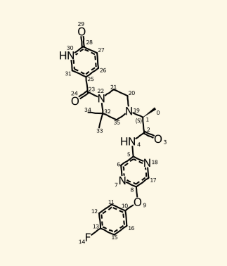 C[C@@H](C(=O)Nc1cnc(Oc2ccc(F)cc2)cn1)N1CCN(C(=O)c2ccc(=O)[nH]c2)C(C)(C)C1